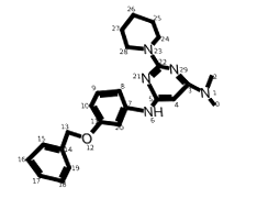 CN(C)c1cc(Nc2cccc(OCc3ccccc3)c2)nc(N2CCCCC2)n1